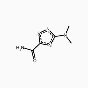 CN(C)c1nsc(C(N)=O)n1